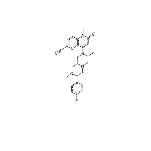 COC(CN1C[C@H](C)N(c2cc(=O)n(C)c3ccc(C#N)nc23)CC1C)c1ccc(F)cc1